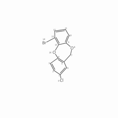 Clc1ccc2c(c1)COc1cccc(Br)c1O2